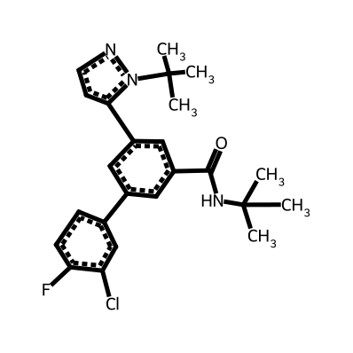 CC(C)(C)NC(=O)c1cc(-c2ccc(F)c(Cl)c2)cc(-c2ccnn2C(C)(C)C)c1